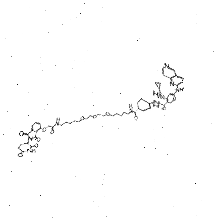 O=C(COc1cccc2c1C(=O)N(C1CCC(=O)NC1=O)C2=O)NCCCCCOCCOCCOCCCCCNC(=O)[C@H]1CC[C@H](NC(=O)c2cnc(Nc3ccc4cnccc4n3)cc2NC2CC2)CC1